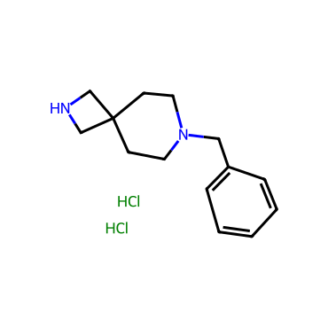 Cl.Cl.c1ccc(CN2CCC3(CC2)CNC3)cc1